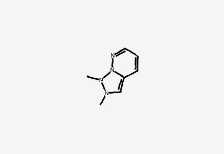 CN1C=C2C=CC=NN2N1C